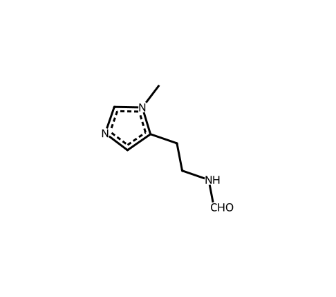 Cn1cncc1CCNC=O